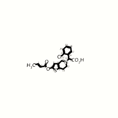 CC=CC(=O)Oc1cc2c(s1)CCN(C(C(=O)O)c1ccccc1Cl)C2